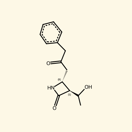 CC(O)[C@H]1C(=O)N[C@@H]1CC(=O)Cc1ccccc1